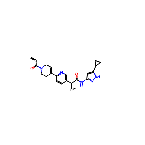 C=CC(=O)N1CC=C(c2ccc(C(CCC)C(=O)Nc3cc(C4CC4)[nH]n3)cn2)CC1